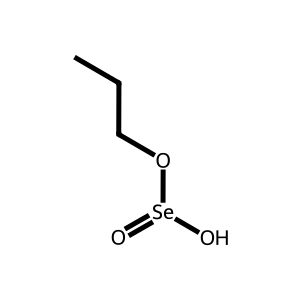 CCCO[Se](=O)O